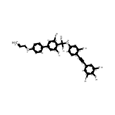 C=CCOc1ccc(-c2cc(F)c(C(F)(F)Oc3ccc(C#Cc4cc(F)c(F)c(F)c4)c(F)c3)c(F)c2)cc1